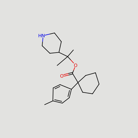 Cc1ccc(C2(C(=O)OC(C)(C)C3CCNCC3)CCCCC2)cc1